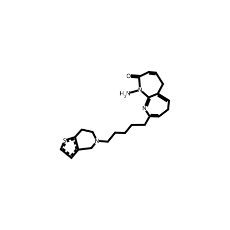 NN1C(=O)C=CCC2=CCC=C(CCCCCN3CCc4sccc4C3)N=C21